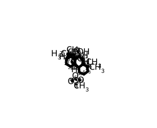 CC1(C)CC[C@H](OS(C)(=O)=O)[C@]23CCO[C@](O)([C@@H](O)[C@H]12)C12C(=O)C(C)(C)[C@H](CC[C@H]13)C2O